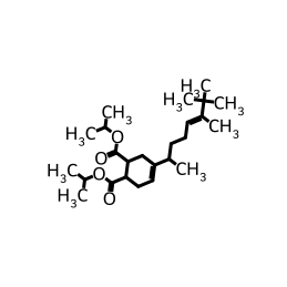 C/C(=C\CCC(C)C1=CCC(C(=O)OC(C)C)C(C(=O)OC(C)C)C1)C(C)(C)C